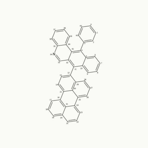 c1ccc(-c2c3ccccc3c(-c3ccc4c5cccc6cccc(c7cccc3c74)c65)c3cnc4ccccc4c23)cc1